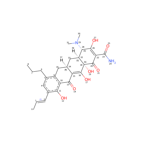 C/C=C/c1cc(CCC)c2c(c1O)C(=O)C1=C(O)[C@]3(O)C(=O)C(C(N)=O)=C(O)[C@@H](N(C)C)[C@@H]3C[C@@H]1C2